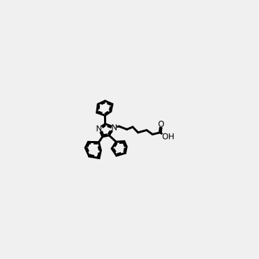 O=C(O)CCCCCCn1c(-c2ccccc2)nc(-c2ccccc2)c1-c1ccccc1